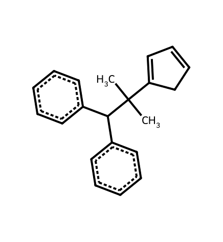 CC(C)(C1=CC=CC1)C(c1ccccc1)c1ccccc1